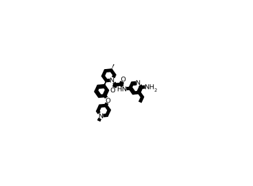 CCc1cc(NC(=O)C(=O)N2C[C@@H](C)CC[C@@H]2c2cccc(OC3CCN(C)CC3)c2)cnc1N